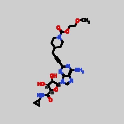 COCCOC(=O)N1CCC(CC#Cc2nc(N)c3ncn([C@@H]4O[C@H](C(=O)NC5CC5)[C@H](O)C4O)c3n2)CC1